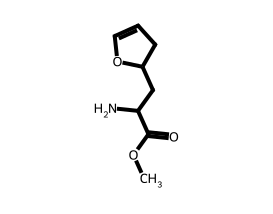 COC(=O)C(N)CC1CC=CO1